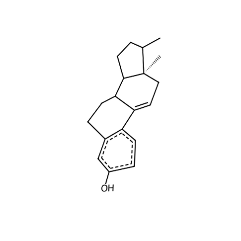 CC1CCC2C3CCc4cc(O)ccc4C3=CC[C@]12C